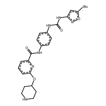 CC(C)(C)c1cc(NC(=O)Nc2ccc(NC(=O)c3cccc(OC4CCNCC4)n3)cc2)no1